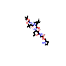 C=CCC(NC(=O)[C@@H]1C2C(CN1C(=O)[C@@H](NC(=O)OC(C)(C)C)C(C)(C)C)C2(C)C)C(=O)C(=O)NCC(=O)OCC1CCCN1